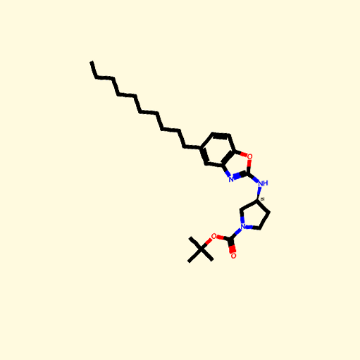 CCCCCCCCCCc1ccc2oc(N[C@H]3CCN(C(=O)OC(C)(C)C)C3)nc2c1